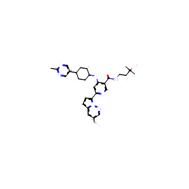 Cc1ncc(C2CCC(Nc3cc(-c4ccc5cc(C#N)cnn45)ncc3C(=O)NC[C@@H](F)C(C)(C)O)CC2)cn1